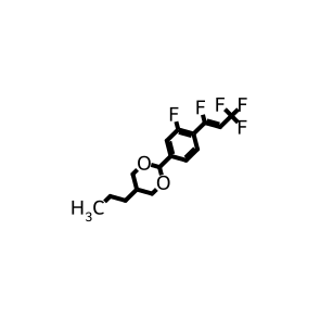 CCCC1COC(c2ccc(/C(F)=C/C(F)(F)F)c(F)c2)OC1